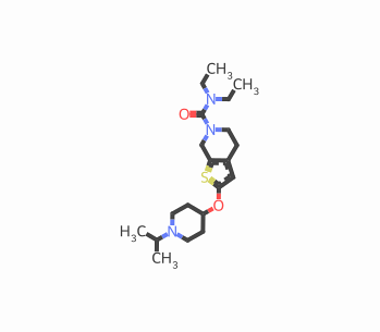 CCN(CC)C(=O)N1CCc2cc(OC3CCN(C(C)C)CC3)sc2C1